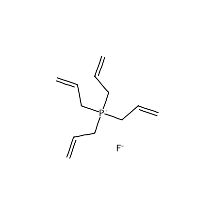 C=CC[P+](CC=C)(CC=C)CC=C.[F-]